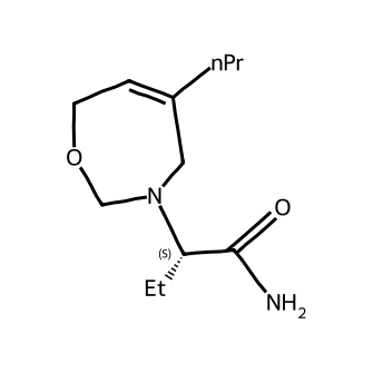 CCCC1=CCOCN([C@@H](CC)C(N)=O)C1